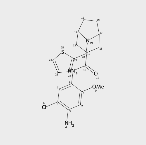 COc1cc(N)c(Cl)cc1NC(=O)C1CC2CCC(C1)N2Cc1cccs1